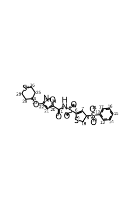 O=C(NS(=O)(=O)C1=CC(S(=O)(=O)c2ccccc2)CS1)c1cc(OC2CCSCC2)no1